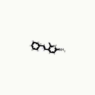 Cc1nc(N)ccc1/C=C/c1ccccc1